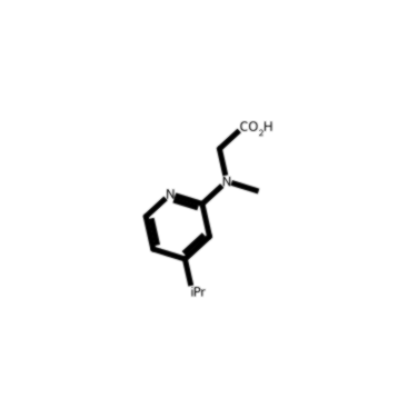 CC(C)c1ccnc(N(C)CC(=O)O)c1